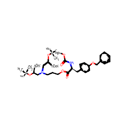 CCCCCCCCCCC(CN(CCCOC(=O)[C@H](Cc1ccc(OCc2ccccc2)cc1)NC(=O)OC(C)(C)C)CC(CCCCCCCCCC)O[Si](C)(C)C(C)(C)C)O[Si](C)(C)C(C)(C)C